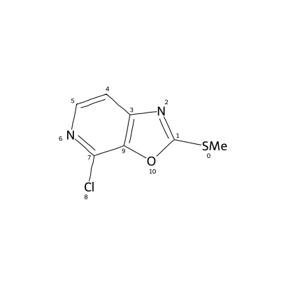 CSc1nc2ccnc(Cl)c2o1